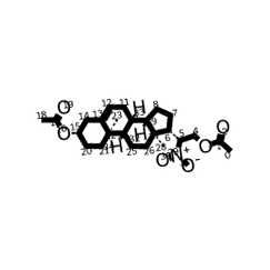 CC(=O)OCC([C@H]1CC[C@H]2[C@@H]3CC=C4C[C@@H](OC(C)=O)CC[C@]4(C)[C@H]3CC[C@]12C)[N+](=O)[O-]